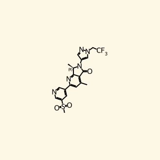 Cc1cc(-c2cncc(S(C)(=O)=O)c2)nc2c1C(=O)N(c1cnn(CC(F)(F)F)c1)[C@@H]2C